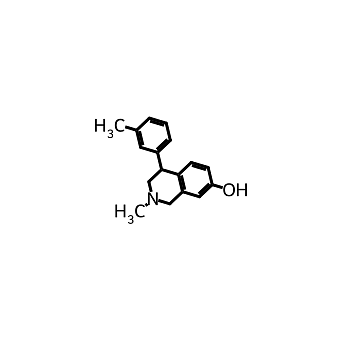 Cc1cccc(C2CN(C)Cc3cc(O)ccc32)c1